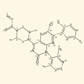 C=CC(=O)N1CC(C)N(c2nc(=O)n(-c3c(C)ccnc3C(C)C)c3nc(-c4cc(F)ccc4F)c(Cl)cc23)CC1C